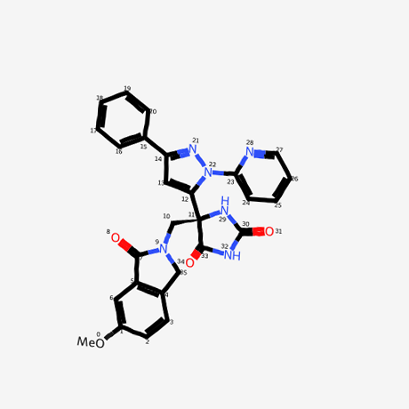 COc1ccc2c(c1)C(=O)N(C[C@@]1(c3cc(-c4ccccc4)nn3-c3ccccn3)NC(=O)NC1=O)C2